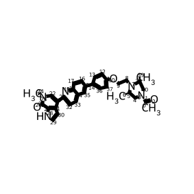 CC(=O)N1C[C@@H](C)N(CCOc2ccc(-c3ccc4nc(-c5cn(C)c(=O)c6[nH]ccc56)ccc4c3)cc2)[C@@H](C)C1